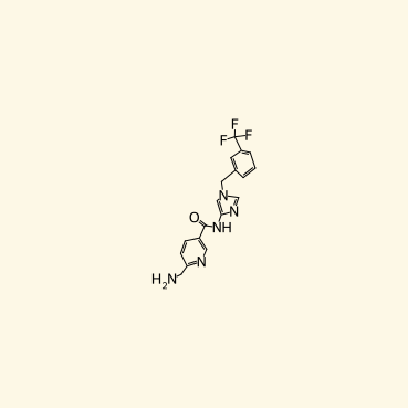 NCc1ccc(C(=O)Nc2cn(Cc3cccc(C(F)(F)F)c3)cn2)cn1